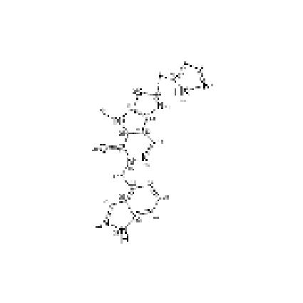 Cn1c2sc(Cc3ccn[nH]3)nc2c2cnn(Cc3cccc4[nH]ncc34)c(=O)c21